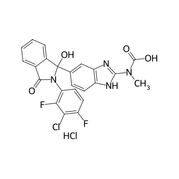 CN(C(=O)O)c1nc2cc(C3(O)c4ccccc4C(=O)N3c3ccc(F)c(Cl)c3F)ccc2[nH]1.Cl